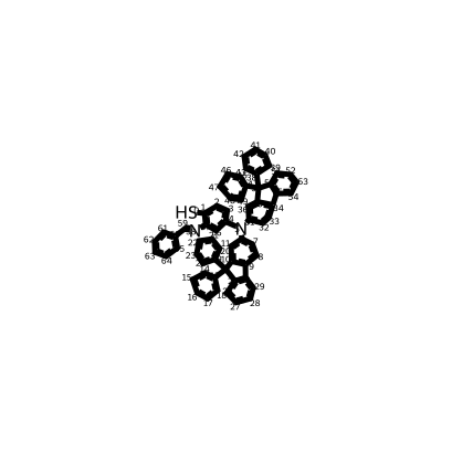 Sc1ccc(N(c2ccc3c(c2)C(c2ccccc2)(c2ccccc2)c2ccccc2-3)c2ccc3c(c2)C(c2ccccc2)(c2ccccc2)c2ccccc2-3)cc1/N=C/c1ccccc1